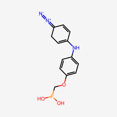 [N-]=[N+]=C1C=CC(Nc2ccc(OCP(O)O)cc2)=CC1